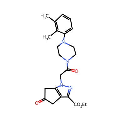 CCOC(=O)c1nn(CC(=O)N2CCN(c3cccc(C)c3C)CC2)c2c1CC(=O)C2